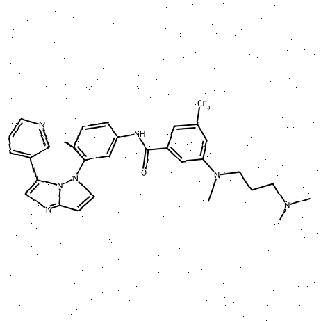 Cc1ccc(NC(=O)c2cc(N(C)CCCN(C)C)cc(C(F)(F)F)c2)cc1-n1ccc2ncc(-c3cccnc3)n21